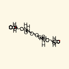 O=C(NCCOCCOCCNC(=O)N[C@H]1CC[C@H](CCN2[C@@H]3CC[C@H]2c2ccccc23)CC1)N[C@H]1CC[C@H](CCN2[C@@H]3CC[C@H]2c2ccccc23)CC1